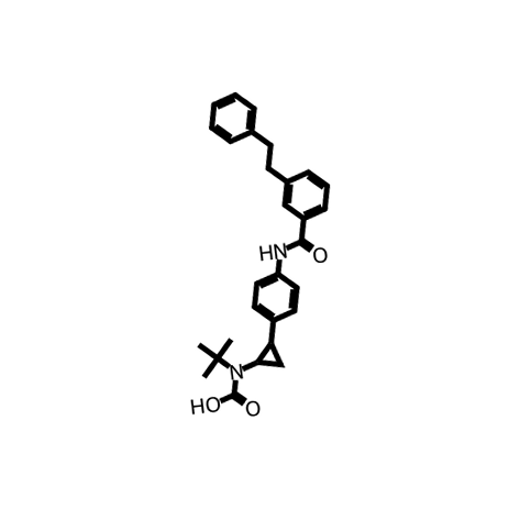 CC(C)(C)N(C(=O)O)C1CC1c1ccc(NC(=O)c2cccc(CCc3ccccc3)c2)cc1